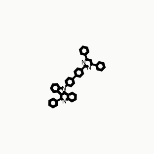 c1ccc(-c2cc(-c3ccccc3)nc(-c3ccc(-c4ccc(-n5c6ccccc6c6c(-c7ccccc7)nc7ccccc7c65)cc4)cc3)n2)cc1